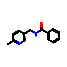 Cc1ccc(CNC(=O)c2ccccc2)cn1